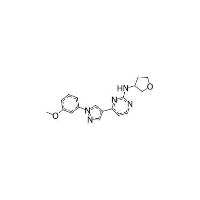 COc1cccc(-n2cc(-c3ccnc(NC4CCOC4)n3)cn2)c1